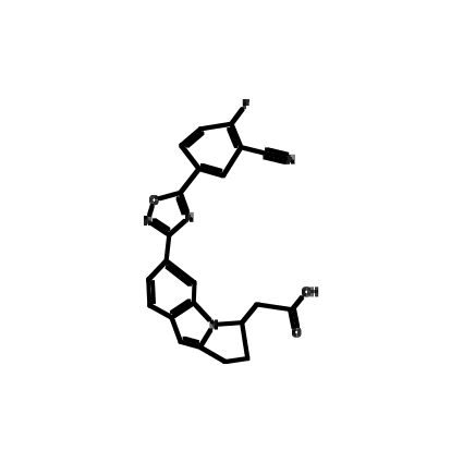 N#Cc1cc(-c2nc(-c3ccc4cc5n(c4c3)C(CC(=O)O)CC5)no2)ccc1F